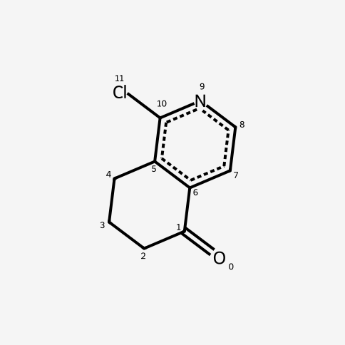 O=C1CCCc2c1ccnc2Cl